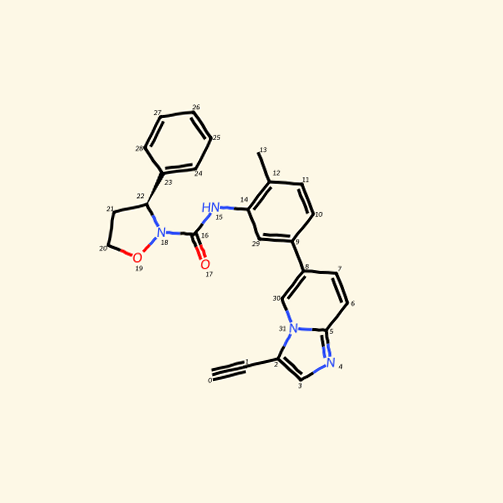 C#Cc1cnc2ccc(-c3ccc(C)c(NC(=O)N4OCC[C@H]4c4ccccc4)c3)cn12